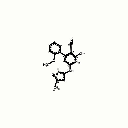 COc1ccccc1-c1cc(Nc2cc(C)[nH]n2)nc(Cl)c1C#N